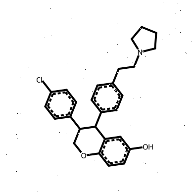 Oc1ccc2c(c1)C(c1ccc(CCN3CCCC3)cc1)C(c1ccc(Cl)cc1)CO2